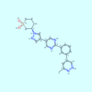 Cc1cc(-c2cccc(-c3ncc(-c4cnn([C@@H]5CCCS(=O)(=O)C5)c4)cn3)c2)cnn1